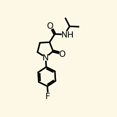 CC(C)NC(=O)C1CCN(c2ccc(F)cc2)C1=O